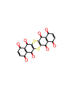 O=c1ccc(=O)c2c(=O)c3sc4c(=O)c5c(=O)ccc(=O)c5c(=O)c4sc3c(=O)c12